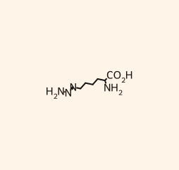 NN=NCCCCC(N)C(=O)O